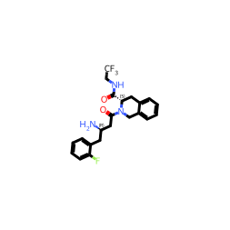 N[C@@H](CC(=O)N1Cc2ccccc2C[C@H]1C(=O)NCC(F)(F)F)Cc1ccccc1F